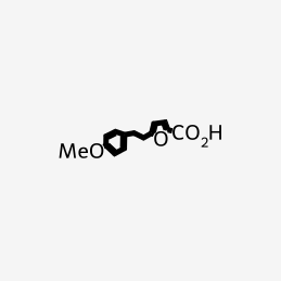 COc1ccc(CCc2ccc(C(=O)O)o2)cc1